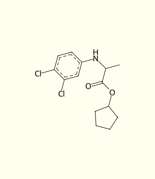 CC(Nc1ccc(Cl)c(Cl)c1)C(=O)OC1CCCC1